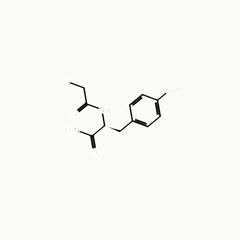 NC(=O)[C@H](Cc1ccc(O)cc1)NC(=O)CI